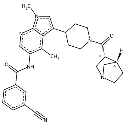 Cc1c(NC(=O)c2cccc(C#N)c2)cnc2c1c(C1CCN(C(=O)[C@H]3CN4CC[C@@H]3C4)CC1)cn2C